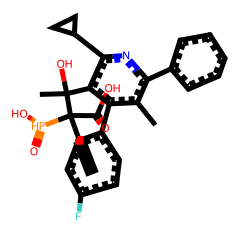 C#CC(C(=O)O)([PH](=O)O)C(C)(O)c1c(C2CC2)nc(-c2ccccc2)c(C)c1-c1ccc(F)cc1